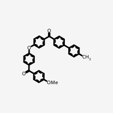 COc1ccc(C(=O)c2ccc(Oc3ccc(C(=O)c4ccc(-c5ccc(C)cc5)cc4)cc3)cc2)cc1